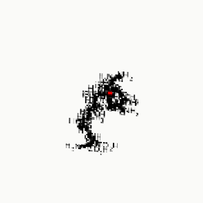 CC[C@H](C)[C@H](NC(=O)[C@H](C)NC(=O)[C@@H]1CCCN1C(=O)[C@H](CO)NC(=O)[C@H](CCC(N)=O)NC(=O)[C@@H](NC(=O)[C@H](CC(C)C)NC(=O)[C@@H](NC(=O)[C@@H](NC(=O)[C@@H](N)CCC(N)=O)[C@@H](C)CC)C(C)C)[C@@H](C)O)C(=O)N[C@@H](CCSC)C(=O)N[C@@H](CO)C(=O)N[C@@H](C)C(=O)N[C@@H](CO)C(=O)N1CCC[C@H]1C(=O)NCC(=O)N[C@@H](CCC(=O)O)C(=O)N[C@@H](CCCCN)C(=O)O